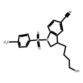 Cc1ccc(S(=O)(=O)N2CC(CCCCO)c3cc(C#N)ccc32)cc1